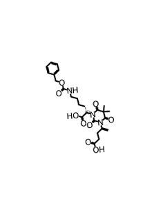 C=C(CCC(=O)O)N1C(=O)N([C@@H](CCCCNC(=O)OCc2ccccc2)C(=O)O)C(=O)C(C)(C)C1=O